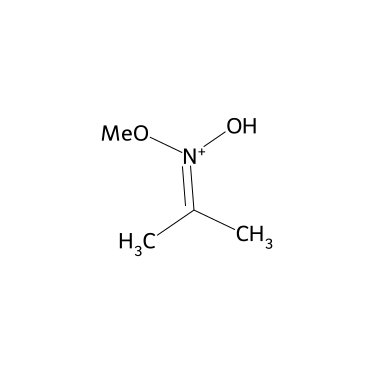 CO[N+](O)=C(C)C